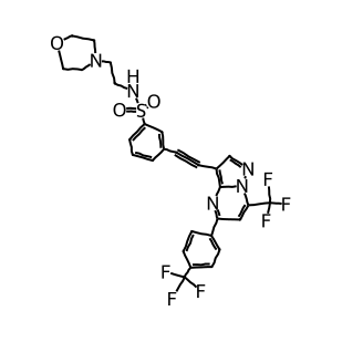 O=S(=O)(NCCN1CCOCC1)c1cccc(C#Cc2cnn3c(C(F)(F)F)cc(-c4ccc(C(F)(F)F)cc4)nc23)c1